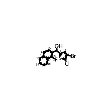 OC(c1cc(Br)c(Cl)s1)c1ccc2ccccc2c1F